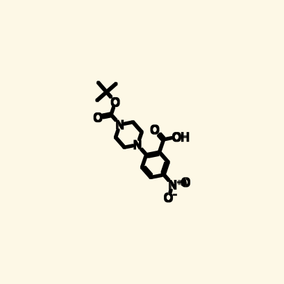 CC(C)(C)OC(=O)N1CCN(c2ccc([N+](=O)[O-])cc2C(=O)O)CC1